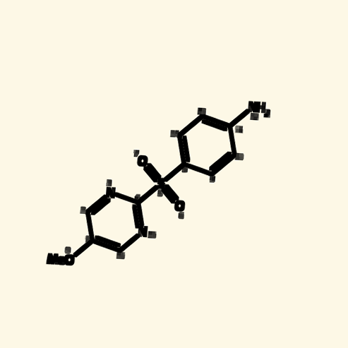 COc1cnc(S(=O)(=O)c2ccc(N)cc2)nc1